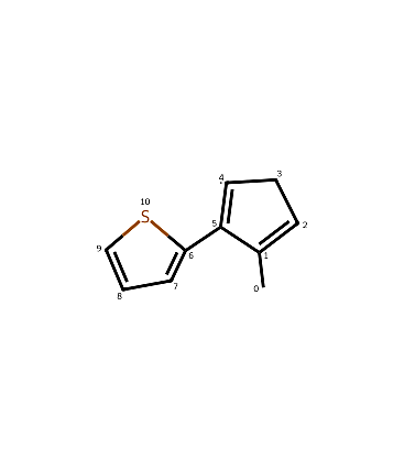 CC1=CC[C]=C1c1cccs1